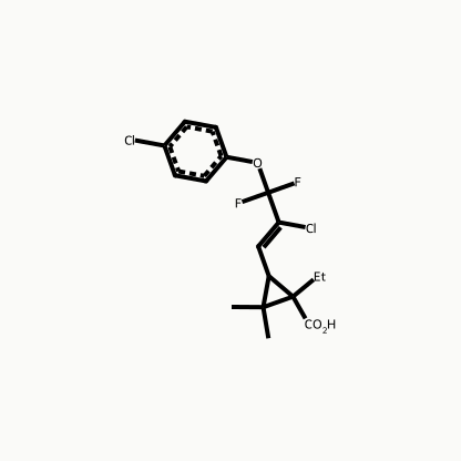 CCC1(C(=O)O)C(C=C(Cl)C(F)(F)Oc2ccc(Cl)cc2)C1(C)C